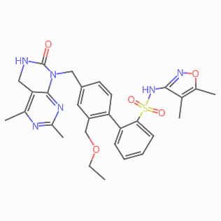 CCOCc1cc(CN2C(=O)NCc3c(C)nc(C)nc32)ccc1-c1ccccc1S(=O)(=O)Nc1noc(C)c1C